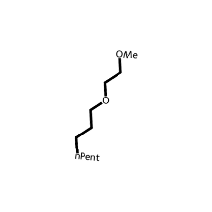 CCCCCCCCOCCOC